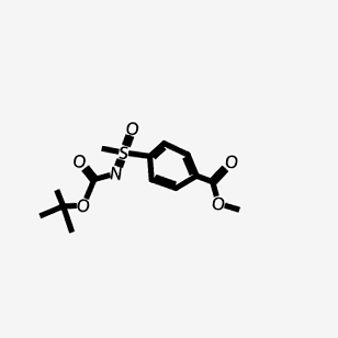 COC(=O)c1ccc(S(C)(=O)=NC(=O)OC(C)(C)C)cc1